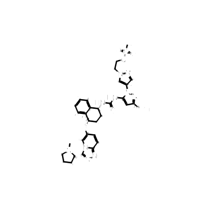 CN1CCC[C@H]1c1nnc2ccc(O[C@@H]3CC[C@H](NC(=O)Nc4cc(C(C)(C)C)nn4-c4cnn(CCOS(C)(=O)=O)c4)c4ccccc43)cn12